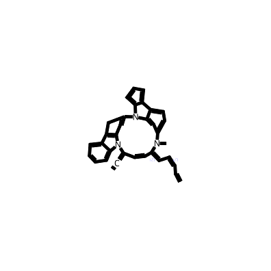 C=C=c1cc/c(=C/C=C\C=C)n(C)c2ccc3c4c(n(c5cc6c(c7ccccc7n16)C5)c3c2)=C=CC=4